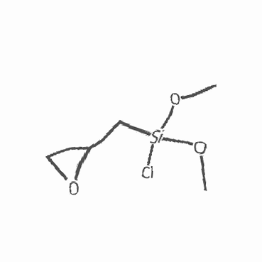 CO[Si](Cl)(CC1CO1)OC